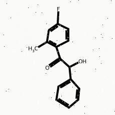 Cc1cc(F)ccc1C(=O)C(O)c1ccccc1